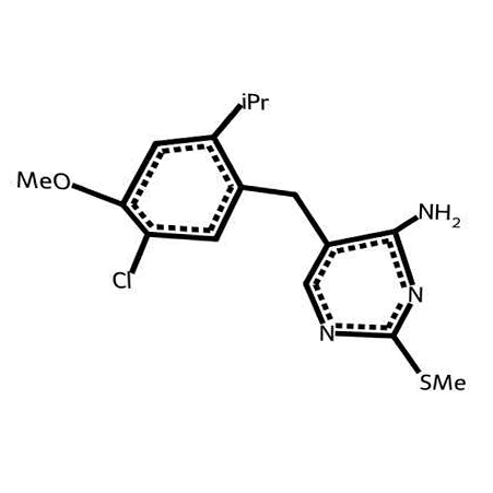 COc1cc(C(C)C)c(Cc2cnc(SC)nc2N)cc1Cl